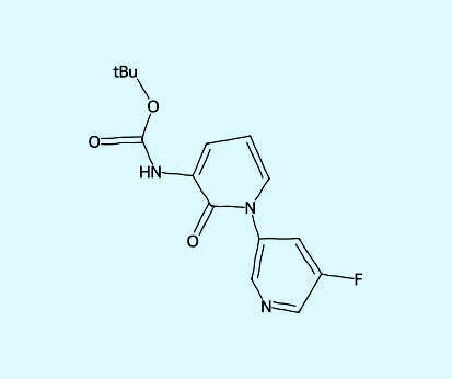 CC(C)(C)OC(=O)Nc1cccn(-c2cncc(F)c2)c1=O